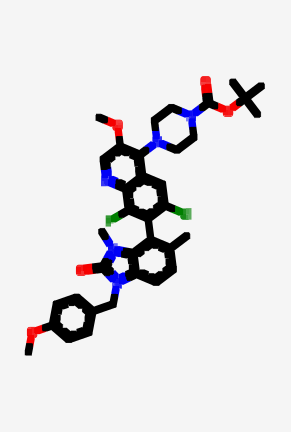 COc1ccc(Cn2c(=O)n(C)c3c(-c4c(Cl)cc5c(N6CCN(C(=O)OC(C)(C)C)CC6)c(OC)cnc5c4F)c(C)ccc32)cc1